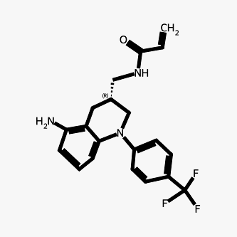 C=CC(=O)NC[C@H]1Cc2c(N)cccc2N(c2ccc(C(F)(F)F)cc2)C1